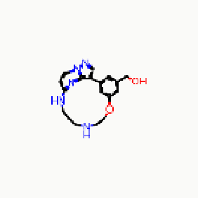 OCc1cc2cc(c1)-c1cnn3ccc(nc13)NCCCNCCO2